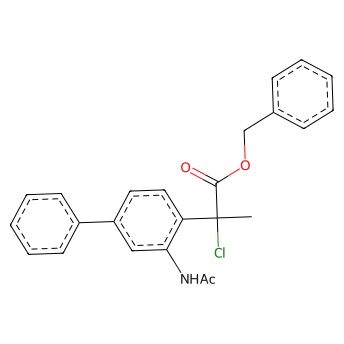 CC(=O)Nc1cc(-c2ccccc2)ccc1C(C)(Cl)C(=O)OCc1ccccc1